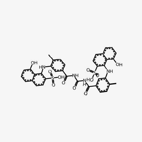 Cc1ccc(C(=O)NC(=O)NC(=O)c2ccc(C)c(Nc3c(S(=O)(=O)O)ccc4cccc(O)c34)c2)cc1Nc1c(S(=O)(=O)O)ccc2cccc(O)c12